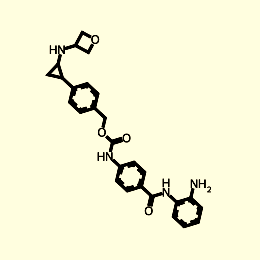 Nc1ccccc1NC(=O)c1ccc(NC(=O)OCc2ccc(C3CC3NC3COC3)cc2)cc1